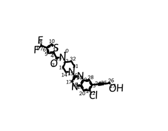 CN(C(=O)c1cc(C(F)F)cs1)C1CCN(c2cnc3cc(Cl)c(C#CCO)cc3n2)CC1